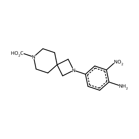 Nc1ccc(N2CC3(CCN(C(=O)O)CC3)C2)cc1[N+](=O)[O-]